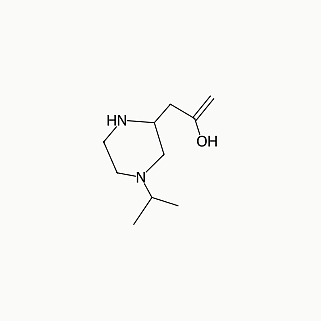 C=C(O)CC1CN(C(C)C)CCN1